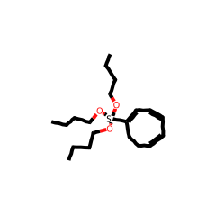 CCCCO[Si](OCCCC)(OCCCC)C1=CC=CC=CCC1